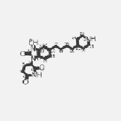 Cn1c(=O)n(C2CCC(=O)NC2=O)c2ccc(CCCCC3CCNCC3)cc21